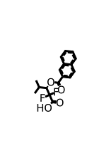 CC(C)[C@@H](OC(=O)c1ccc2ccccc2c1)C(F)(F)C(=O)O